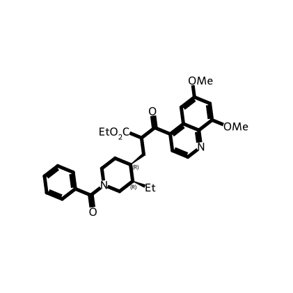 CCOC(=O)C(C[C@@H]1CCN(C(=O)c2ccccc2)C[C@@H]1CC)C(=O)c1ccnc2c(OC)cc(OC)cc12